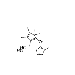 CC1=[C]([Zr][C]2=C(C)C(C)=C(C)C2(C)C)CC=C1.Cl.Cl